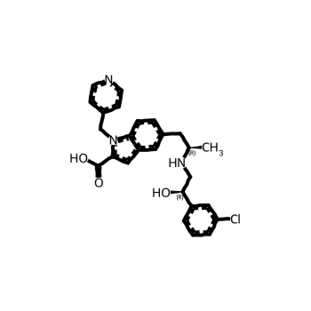 C[C@H](Cc1ccc2c(c1)cc(C(=O)O)n2Cc1ccncc1)NC[C@H](O)c1cccc(Cl)c1